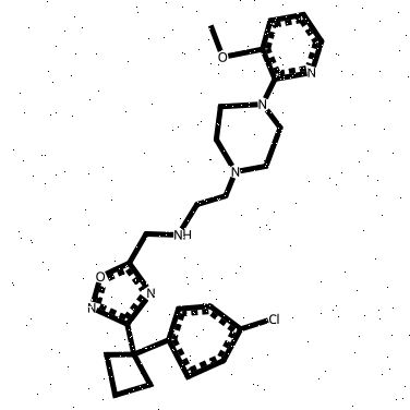 COc1cccnc1N1CCN(CCNCc2nc(C3(c4ccc(Cl)cc4)CCC3)no2)CC1